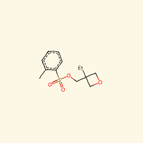 CCC1(COS(=O)(=O)c2ccccc2C)COC1